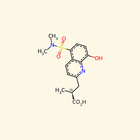 C[C@@H](Cc1ccc2c(S(=O)(=O)N(C)C)ccc(O)c2n1)C(=O)O